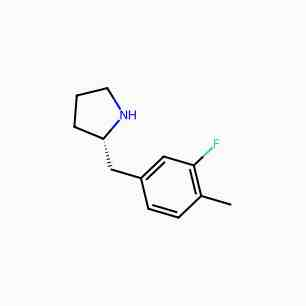 Cc1ccc(C[C@@H]2CCCN2)cc1F